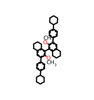 COc1c(-c2ccc(C3CCCCC3)cc2)cc2c(c1-c1c3c(cc(-c4ccc(C5CCCCC5)cc4)c1OC)CCCC3)CCCC2